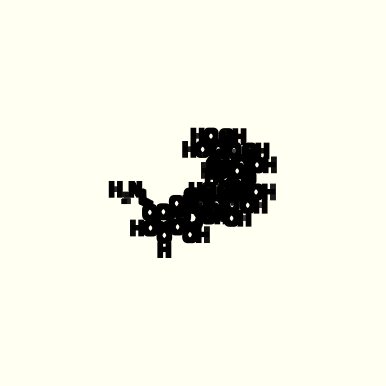 NCCCO[C@@H]1OC(CO)[C@@H](O[C@H]2OC(CO)[C@H](O[C@H]3OC(CO)[C@@H](O[C@@H]4OC(CO)[C@@H](O[C@H]5OC(CO)[C@H](O[C@H]6OC(CO)[C@@H](O)C(O)C6O)C(O)C5O)C(O)C4O)C(O)C3O)C(O)CC2O)C(O)C1O